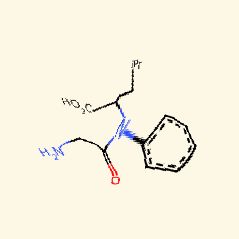 CC(C)CC(C(=O)O)N(C(=O)CN)c1ccccc1